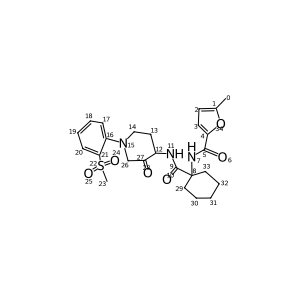 Cc1ccc(C(=O)NC2(C(=O)NC3CCN(c4ccccc4S(C)(=O)=O)CC3=O)CCCCC2)o1